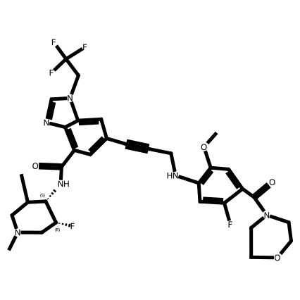 COc1cc(C(=O)N2CCOCC2)c(F)cc1NCC#Cc1cc(C(=O)N[C@H]2C(C)CN(C)C[C@H]2F)c2ncn(CC(F)(F)F)c2c1